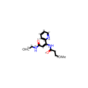 COCCC(=O)NC(=CC(=O)NC[C]=O)c1ccccn1